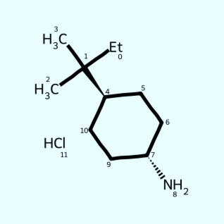 CCC(C)(C)[C@H]1CC[C@H](N)CC1.Cl